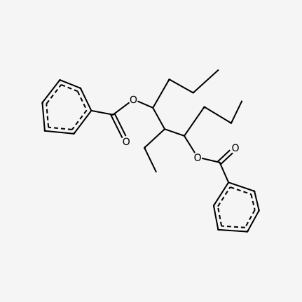 CCCC(OC(=O)c1ccccc1)C(CC)C(CCC)OC(=O)c1ccccc1